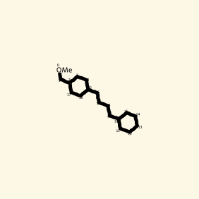 COCC1CCC(CCCCC2CCCCC2)CC1